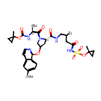 CCC(CNC(=O)[C@@H]1CC(Oc2nccc3cc(OC)ccc23)CN1C(=O)[C@@H](NC(=O)OC1(C)CC1)C(C)(C)C)CC(=O)NS(=O)(=O)OC1(C)CC1